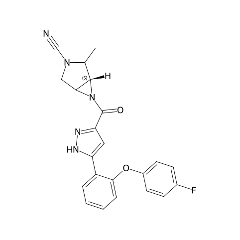 CC1[C@H]2C(CN1C#N)N2C(=O)c1cc(-c2ccccc2Oc2ccc(F)cc2)[nH]n1